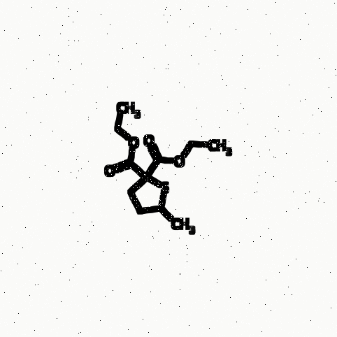 CCOC(=O)C1(C(=O)OCC)CCC(C)S1